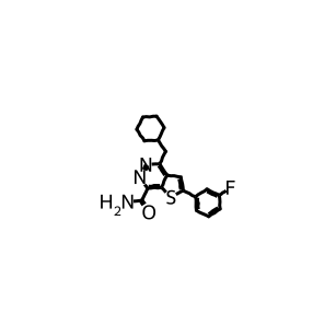 NC(=O)c1nnc(CC2CCCCC2)c2cc(-c3cccc(F)c3)sc12